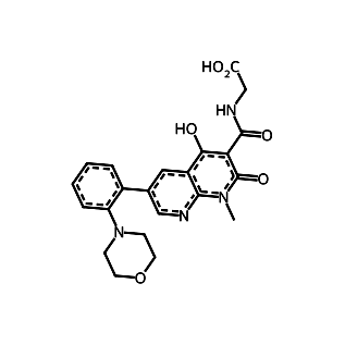 Cn1c(=O)c(C(=O)NCC(=O)O)c(O)c2cc(-c3ccccc3N3CCOCC3)cnc21